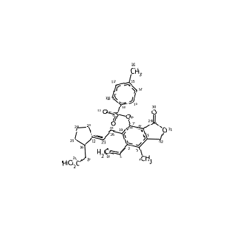 C=Cc1c(C)c2c(c(OS(=O)(=O)c3ccc(C)cc3)c1CC=C1CCCC1CC(=O)O)C(=O)OC2